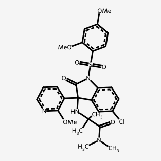 COc1ccc(S(=O)(=O)N2C(=O)C(NC(C)(C)C(=O)N(C)C)(c3cccnc3OC)c3cc(Cl)ccc32)c(OC)c1